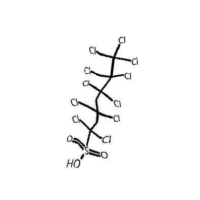 O=S(=O)(O)C(Cl)(Cl)C(Cl)(Cl)C(Cl)(Cl)C(Cl)(Cl)C(Cl)(Cl)Cl